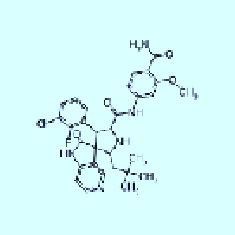 COc1cc(NC(=O)C2NC(CC(C)(C)C)C3(C(=O)Nc4ccncc43)C2c2cccc(Cl)c2F)ccc1C(N)=O